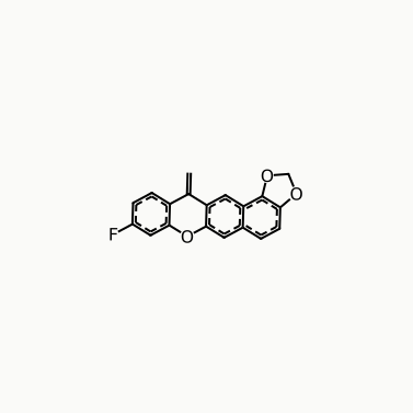 C=C1c2ccc(F)cc2Oc2cc3ccc4c(c3cc21)OCO4